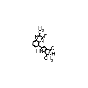 Cc1nc2cccc(-c3cc4c([nH]3)C(C)NC4=O)c2nc1F